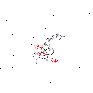 C=C1CC[C@H](O)CC1/C=C(/O)C1(O)CCC[C@]2(C)[C@@H]([C@H](C)/C=C/[C@H](C)C(C)C)CC[C@@H]12